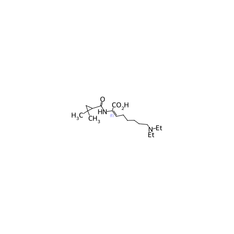 CCN(CC)CCCCC/C=C(/NC(=O)C1CC1(C)C)C(=O)O